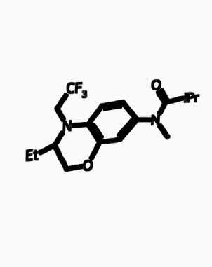 CCC1COc2cc(N(C)C(=O)C(C)C)ccc2N1CC(F)(F)F